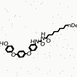 CCCCCCCCCCCCCCCCCC(=O)NC(=O)Nc1ccc(Oc2ccc(Oc3ccc(O)cc3)cc2)cc1